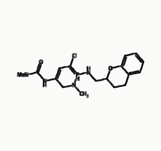 CNC(=O)NC1=CC(Cl)=[PH](NCC2CCc3ccccc3O2)N(C)C1